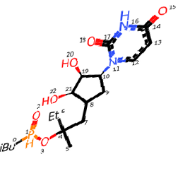 CCC(C)[PH](=O)OC(C)(CC)CC1C[C@H](n2ccc(=O)[nH]c2=O)[C@H](O)[C@@H]1O